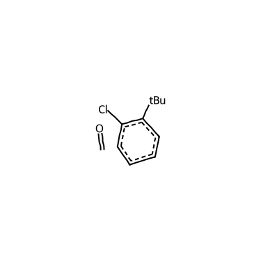 C=O.CC(C)(C)c1ccccc1Cl